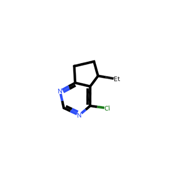 CCC1CCc2ncnc(Cl)c21